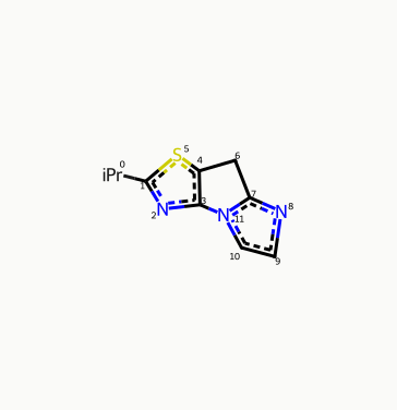 CC(C)c1nc2c(s1)Cc1nccn1-2